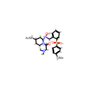 COc1ccc(S(=O)(=O)c2ccccc2CN(O)[C@@H]2CC(NC(C)=O)CCN2C(=O)CN(C)C)cc1